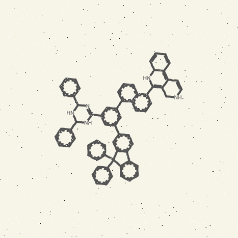 C1=CC2=C3C=CNCC3=C(c3cccc4c(-c5cc(C6=NC(c7ccccc7)NC(c7ccccc7)N6)cc(-c6ccc7c(c6)C(c6ccccc6)(c6ccccc6)c6ccccc6-7)c5)cccc34)NC2C=C1